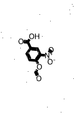 O=COc1ccc(C(=O)O)cc1[N+](=O)[O-]